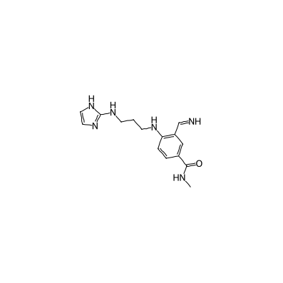 CNC(=O)c1ccc(NCCCNc2ncc[nH]2)c(C=N)c1